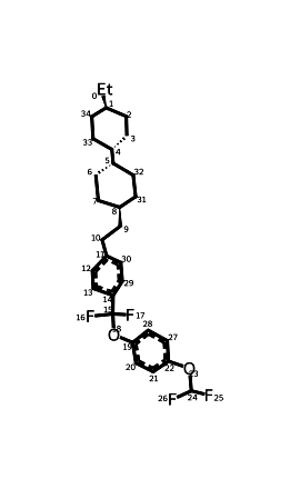 CC[C@H]1CC[C@H]([C@H]2CC[C@H](CCc3ccc(C(F)(F)Oc4ccc(OC(F)F)cc4)cc3)CC2)CC1